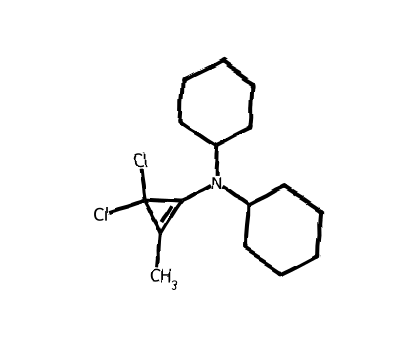 CC1=C(N(C2CCCCC2)C2CCCCC2)C1(Cl)Cl